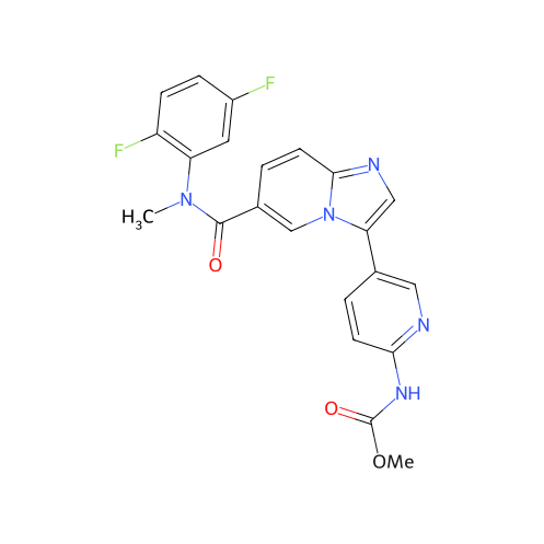 COC(=O)Nc1ccc(-c2cnc3ccc(C(=O)N(C)c4cc(F)ccc4F)cn23)cn1